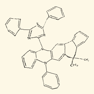 CC1(C)c2ccccc2-c2cc3c(cc21)N(c1ccccc1)c1ccccc1N3c1nc(-c2ccccc2)nc(-c2ccccc2)n1